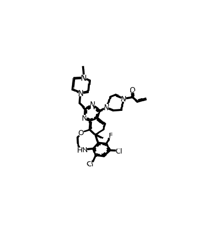 C=CC(=O)N1CCN(c2nc(CN3CCN(C)CC3)nc3c2=CCC2(C)C=3OCCNc3c(Cl)cc(Cl)c(F)c32)CC1